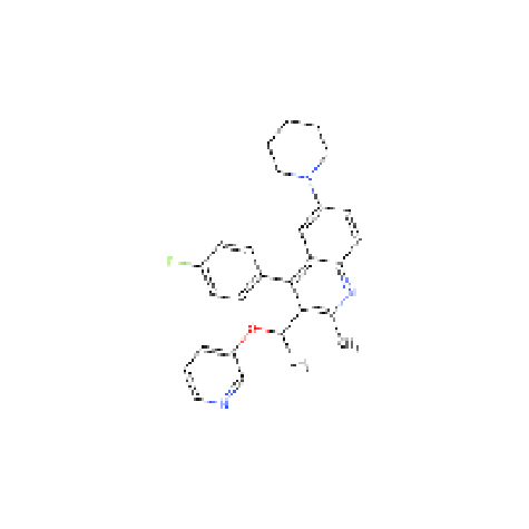 Cc1nc2ccc(N3CCCCC3)cc2c(-c2ccc(F)cc2)c1C(C)Oc1cccnc1